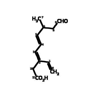 C=C/C(=C\C=CC(C)CC=O)CC(=O)O